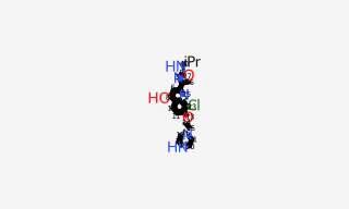 CC(C)NC1=NC(c2cc(O)c3ccc(OCCN4CCNCC4)c(Cl)c3n2)CO1